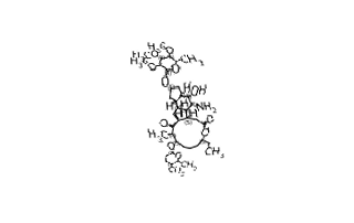 CC[C@H]1CCC[C@H](O[C@H]2CC[C@H](C)C(C)O2)[C@@H](C)C(=O)C2=C[C@H]3[C@@H]4C[C@H](O[C@@H]5OC(C)[C@H](OC)[C@@H](OC)C5OC)C[C@H]4[C@@H](O)[C@H](N)[C@H]3[C@@H]2CC(=O)O1